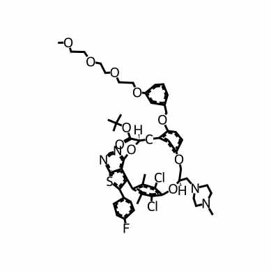 COCCOCCOCCOc1cccc(COc2ccc3cc2C[C@H](C(=O)OC(C)(C)C)Oc2ncnc4sc(-c5ccc(F)cc5)c(c24)-c2c(C)c(Cl)c(c(Cl)c2C)O[C@H](CN2CCN(C)CC2)CO3)c1